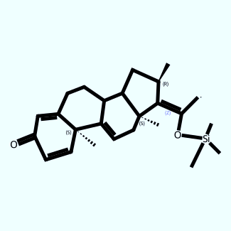 [CH2]/C(O[Si](C)(C)C)=C1\[C@H](C)CC2C3CCC4=CC(=O)C=C[C@]4(C)C3=CC[C@]12C